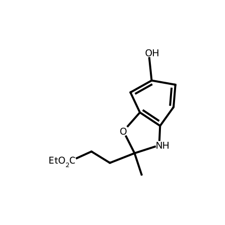 CCOC(=O)CCC1(C)Nc2ccc(O)cc2O1